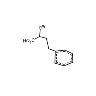 CCCC(CCc1ccccc1)C(=O)O